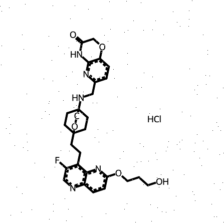 Cl.O=C1COc2ccc(CNC34CCC(CCc5c(F)cnc6ccc(OCCCO)nc56)(CC3)OC4)nc2N1